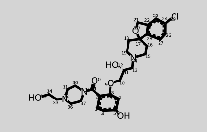 O=C(c1ccc(O)cc1OC[C@H](O)CN1CCC2(CC1)OCc1cc(Cl)ccc12)N1CCN(CCO)CC1